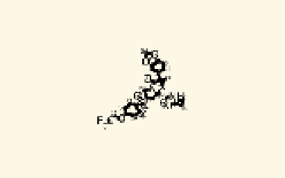 N#CC1(NC(=O)O[C@H]2C[C@@H](S(=O)(=O)c3ccc(OCC(F)(F)F)cc3Cl)CN2C(=O)C2(c3ccc4c(c3)OCO4)CC2)CC1